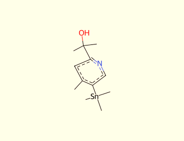 Cc1cc(C(C)(C)O)nc[c]1[Sn]([CH3])([CH3])[CH3]